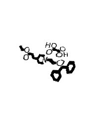 CCOC(=O)C=CC1CCN(CCOC(c2ccccc2)c2ccccc2)CC1.O=C(O)C(=O)O